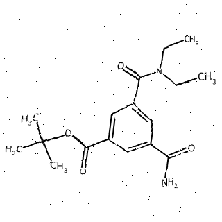 CCN(CC)C(=O)c1cc(C(N)=O)cc(C(=O)OC(C)(C)C)c1